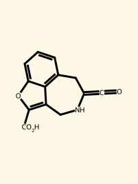 O=C=C1Cc2cccc3oc(C(=O)O)c(c23)CN1